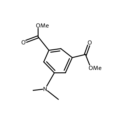 COC(=O)c1cc(C(=O)OC)cc(N(C)C)c1